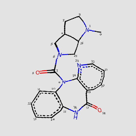 CN1CCC2CN(C(=O)N3c4ccccc4NC(=O)c4cccnc43)CC21